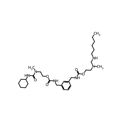 CCCCCCNCN(C)CCOC(=O)NCc1cccc(CNC(=O)OCCN(C)C(=O)NC2CCCCC2)c1